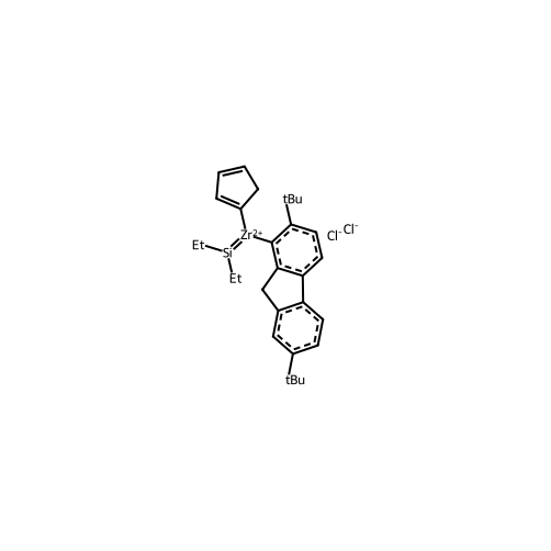 CC[Si](CC)=[Zr+2]([C]1=CC=CC1)[c]1c(C(C)(C)C)ccc2c1Cc1cc(C(C)(C)C)ccc1-2.[Cl-].[Cl-]